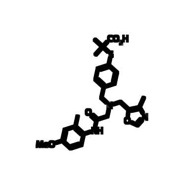 COc1ccc(NC(=O)CN(Cc2ccc(SC(C)(C)C(=O)O)cc2)Cc2ocnc2C)c(C)c1